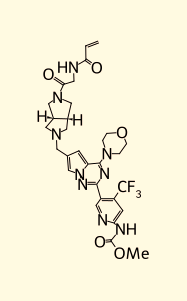 C=CC(=O)NCC(=O)N1C[C@H]2CN(Cc3cc4c(N5CCOCC5)nc(-c5cnc(NC(=O)OC)cc5C(F)(F)F)nn4c3)C[C@H]2C1